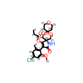 CCC(=O)OC1=C(c2c(C)cc(Cl)cc2OC)C(=O)NC12COC1(CCOCC1)OC2